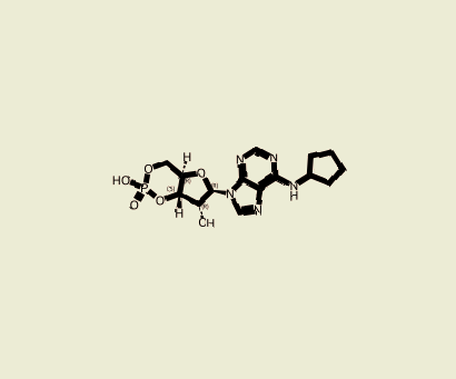 O=P1(O)OC[C@H]2O[C@@H](n3cnc4c(NC5CCCC5)ncnc43)[C@H](O)[C@@H]2O1